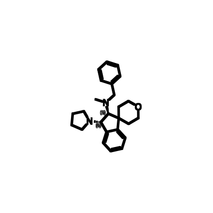 CN(Cc1ccccc1)[C@@H]1[C@@H](N2CCCC2)c2ccccc2C12CCOCC2